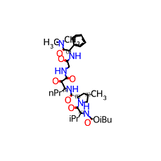 CCC[C@H](NC(=O)[C@@H]1C[C@H](C)CN1C(=O)[C@@H](NC(=O)OCC(C)C)C(C)C)C(=O)C(=O)NCC(=O)N[C@H](C(=O)N(C)C)c1ccccc1